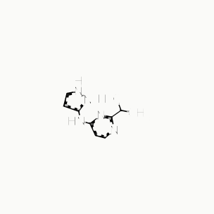 CC(C)c1nccc(Nc2cc[nH]n2)n1